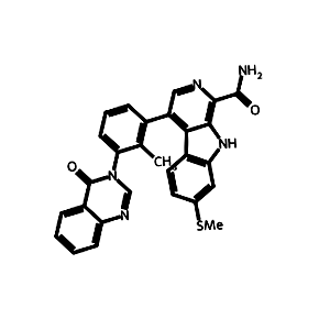 CSc1ccc2c(c1)[nH]c1c(C(N)=O)ncc(-c3cccc(-n4cnc5ccccc5c4=O)c3C)c12